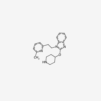 Cc1cccc(CCn2c(OC3CCNCC3)nc3ccccc32)n1